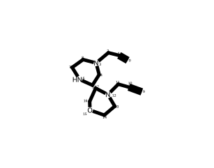 C#CCN1CCNCC1.C#CCN1CCOCC1